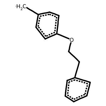 [CH2]c1ccc(OCCc2ccccc2)cc1